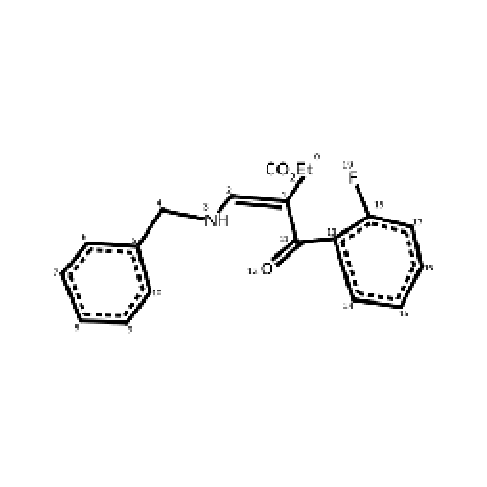 CCOC(=O)C(=CNCc1ccccc1)C(=O)c1ccccc1F